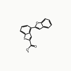 COC(=O)c1cc2c(-c3cc4ccccc4o3)cccc2s1